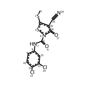 CSc1sn(C(=O)Nc2ccc(Cl)c(Cl)c2)c(=O)c1C#N